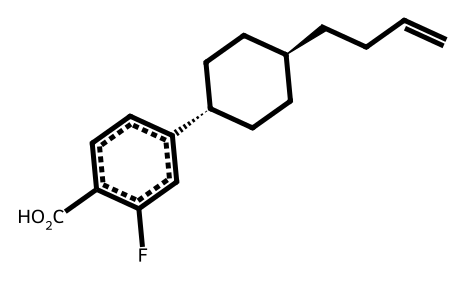 C=CCC[C@H]1CC[C@H](c2ccc(C(=O)O)c(F)c2)CC1